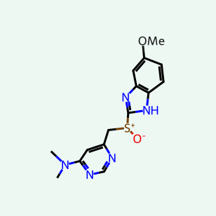 COc1ccc2[nH]c([S+]([O-])Cc3cc(N(C)C)ncn3)nc2c1